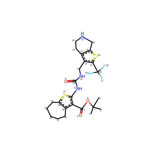 CC(C)(C)OC(=O)c1c(NC(=O)NCc2c(C(F)(F)F)sc3c2CCNC3)sc2c1CCCCC2